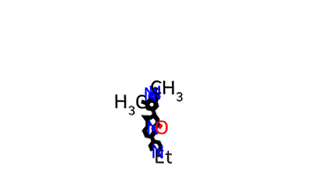 CCN1CCC(C2=CN3C(=O)\C=C(c4cc(C)c5nn(C)cc5c4)/C=C/C=C/3C=C2)CC1